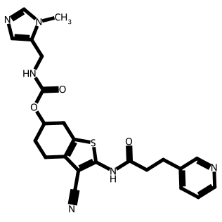 Cn1cncc1CNC(=O)OC1CCc2c(sc(NC(=O)CCc3cccnc3)c2C#N)C1